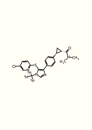 [3H]C([3H])([3H])n1cnc(-c2ccc([C@H]3C[C@@H]3C(=O)N(C)C)cc2)c1Sc1ccc(Cl)cn1